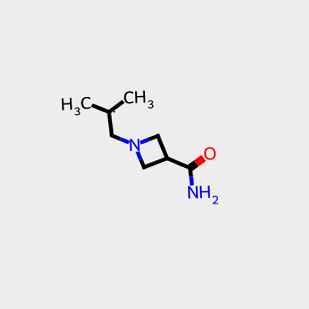 C[C](C)CN1CC(C(N)=O)C1